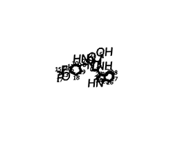 C=C(NC(CO)C1=NC(c2ccc(OC(C)(F)F)cc2)NO1)c1c[nH]c2ccccc12